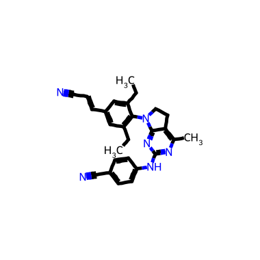 CCc1cc(/C=C/C#N)cc(CC)c1N1CCc2c(C)nc(Nc3ccc(C#N)cc3)nc21